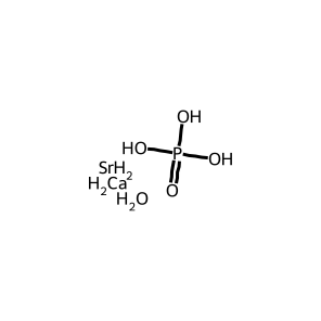 O.O=P(O)(O)O.[CaH2].[SrH2]